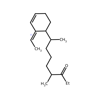 C/C=C1/C=CCCC1C(C)CCCC(C)C(=O)CC